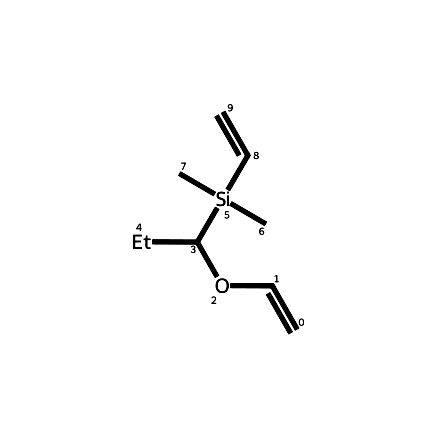 C=COC(CC)[Si](C)(C)C=C